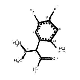 C[C@@H](N)C(C(=O)O)c1cc(F)c(F)cc1F.Cl